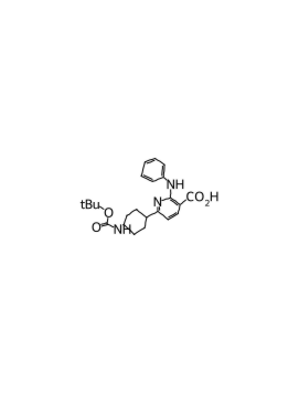 CC(C)(C)OC(=O)NC1CCC(c2ccc(C(=O)O)c(Nc3ccccc3)n2)CC1